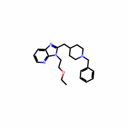 CCOCCn1c(CC2CCN(Cc3ccccc3)CC2)nc2cccnc21